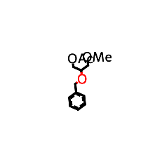 COCC(COC(C)=O)OCc1ccccc1